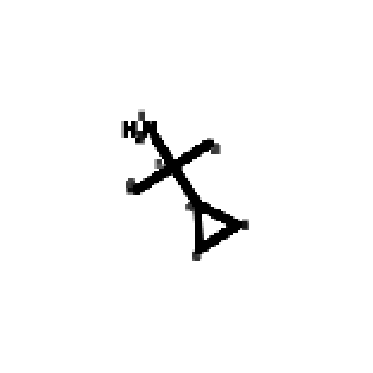 [CH2]C(C)(N)C1CC1